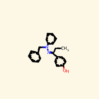 CCC(=NN(Cc1ccccc1)c1ccccc1)c1ccc(O)cc1